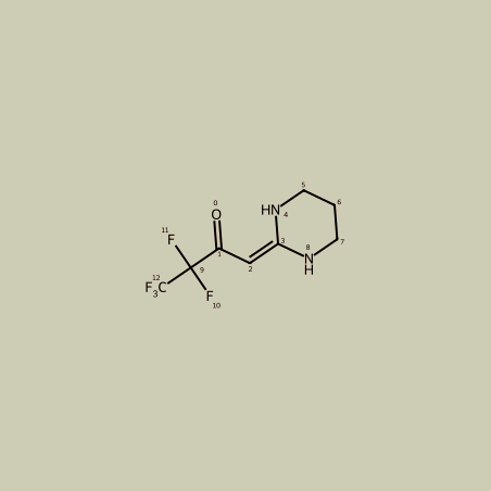 O=C(C=C1NCCCN1)C(F)(F)C(F)(F)F